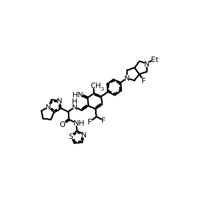 CCN1CC2CN(c3ccc(C4=C(C)C(=N)/C(=C\NC(C(=O)Nc5nccs5)c5ncn6c5CCC6)C(C(F)F)=C4)cc3)CC2(F)C1